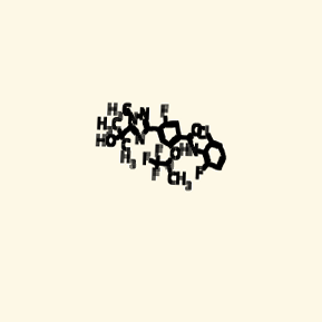 C[C@H](Oc1cc(-c2nc(C(C)(C)O)n(C)n2)c(F)cc1C(=O)Nc1c(F)cccc1Cl)C(F)(F)F